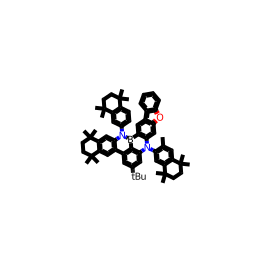 Cc1cc2c(cc1N1c3cc4oc5ccccc5c4cc3B3c4c(cc(C(C)(C)C)cc41)-c1cc4c(cc1N3c1ccc3c(c1)C(C)(C)CCC3(C)C)C(C)(C)CCC4(C)C)C(C)(C)CCC2(C)C